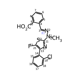 CN(/N=C/c1ccccc1C(=O)O)c1nc(-c2ccccc2Cl)c(F)s1